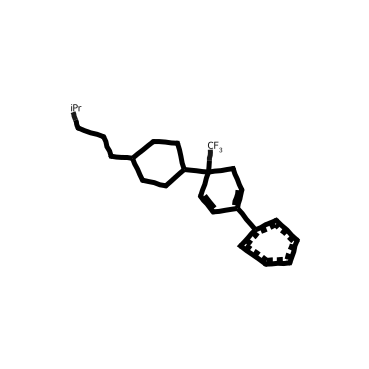 CC(C)CCCC1CCC(C2(C(F)(F)F)C=CC(c3ccccc3)=CC2)CC1